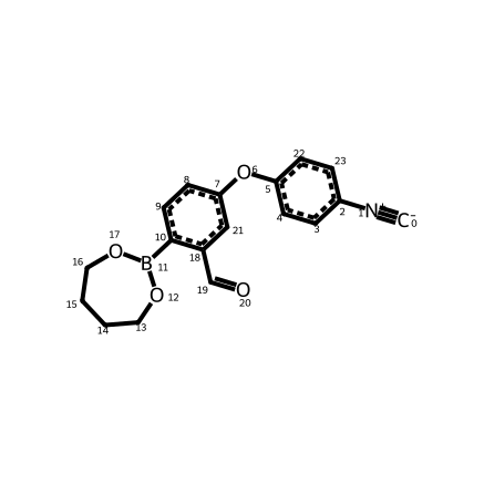 [C-]#[N+]c1ccc(Oc2ccc(B3OCCCCO3)c(C=O)c2)cc1